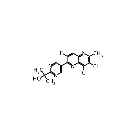 Cc1nc2cc(F)c(-c3cnc(C(C)(C)O)nc3)nc2c(Cl)c1Cl